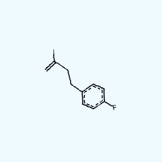 C=C(C)CCc1ccc(F)cc1